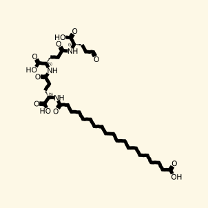 O=CCC[C@H](NC(=O)CC[C@H](NC(=O)CC[C@H](NC(=O)CCCCCCCCCCCCCCCCCCC(=O)O)C(=O)O)C(=O)O)C(=O)O